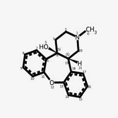 CN1CC[C@@]2(O)c3ccccc3Oc3ccccc3[C@H]2C1